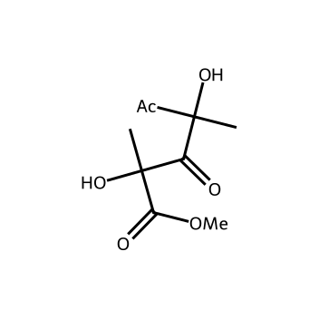 COC(=O)C(C)(O)C(=O)C(C)(O)C(C)=O